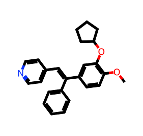 COc1ccc(C(=Cc2ccncc2)c2ccccc2)cc1OC1CCCC1